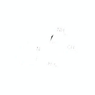 CC(C)[C@H](CN)N1CCCC1